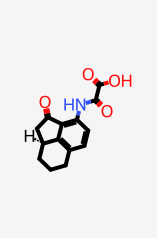 O=C(O)C(=O)Nc1ccc2c3c1C(=O)C[C@@H]3CCC2